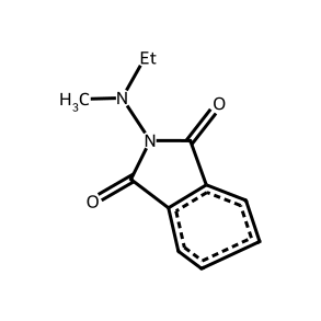 CCN(C)N1C(=O)c2ccccc2C1=O